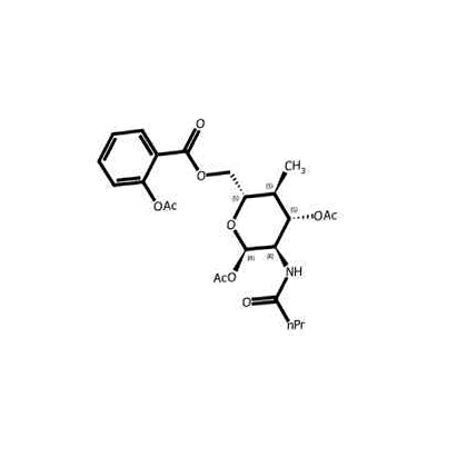 CCCC(=O)N[C@H]1[C@@H](OC(C)=O)O[C@H](COC(=O)c2ccccc2OC(C)=O)[C@@H](C)[C@@H]1OC(C)=O